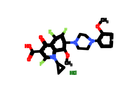 COc1ccccc1N1CCN(c2c(F)c(F)c3c(=O)c(C(=O)O)c(F)n(C4CC4)c3c2OC)CC1.Cl